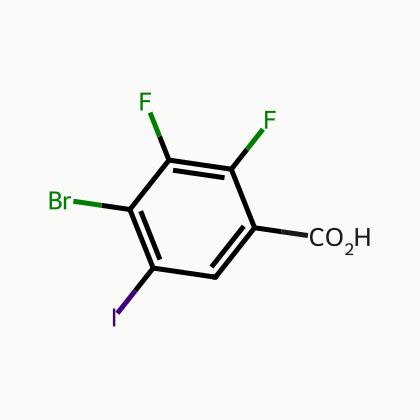 O=C(O)c1cc(I)c(Br)c(F)c1F